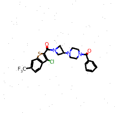 O=C(c1ccccc1)N1CCN(C2CN(C(=O)c3sc4cc(C(F)(F)F)ccc4c3Cl)C2)CC1